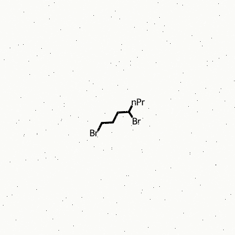 CCCC(Br)CCCBr